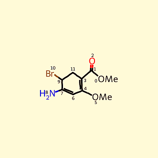 COC(=O)C1=C(OC)C=C(N)C(Br)C1